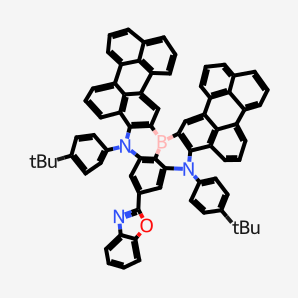 CC(C)(C)c1ccc(N2c3cc(-c4nc5ccccc5o4)cc4c3B(c3cc5c6cccc7cccc(c8cccc(c32)c85)c76)c2cc3c5cccc6cccc(c7cccc(c2N4c2ccc(C(C)(C)C)cc2)c73)c65)cc1